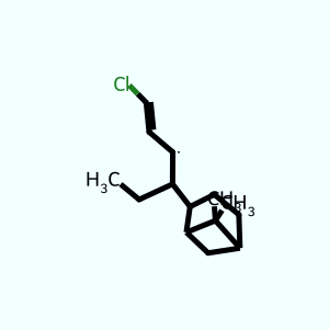 CCC([CH]C=CCl)C1CCC2CC1C2(C)C